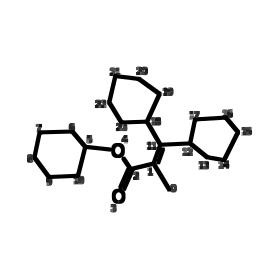 CC(C(=O)OC1CCCCC1)=C(C1CCCCC1)C1CCCCC1